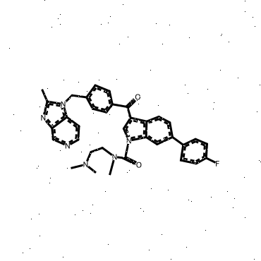 Cc1nc2cnccc2n1Cc1ccc(C(=O)c2cn(C(=O)N(C)CCN(C)C)c3cc(-c4ccc(F)cc4)ccc23)cc1